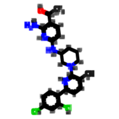 N#Cc1ccc(-c2ccc(Cl)cc2Cl)nc1N1CCCC(Nc2ccc(C(=O)C(F)(F)F)c(N)n2)C1